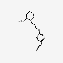 CCCCCCC1CCCCC1CCCOc1ccc(N=C=S)cc1